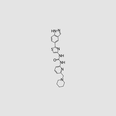 O=C(Nc1cccc(CN2CCCCC2)n1)Nc1csc(-c2ccc3[nH]ncc3c2)n1